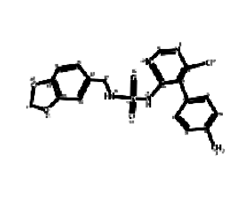 Cc1ccc(-c2c(Cl)ncnc2NS(=O)(=O)NCc2ccc3c(c2)OCO3)cc1